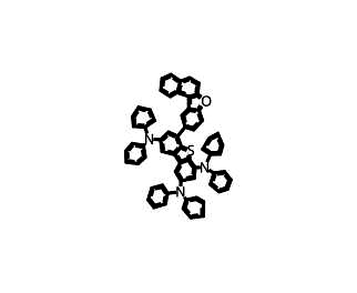 c1ccc(N(c2ccccc2)c2cc(-c3ccc4oc5ccc6ccccc6c5c4c3)c3sc4c(N(c5ccccc5)c5ccccc5)cc(N(c5ccccc5)c5ccccc5)cc4c3c2)cc1